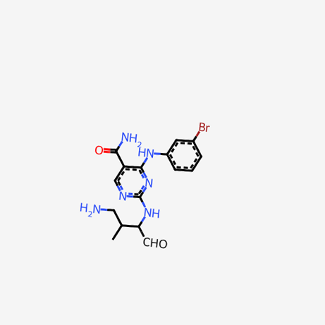 CC(CN)C(C=O)Nc1ncc(C(N)=O)c(Nc2cccc(Br)c2)n1